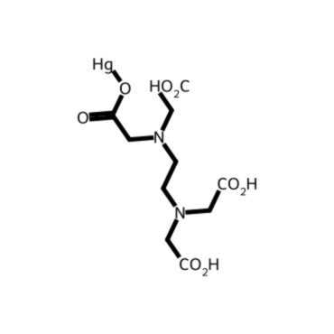 O=C(O)CN(CCN(CC(=O)O)CC(=O)[O][Hg])CC(=O)O